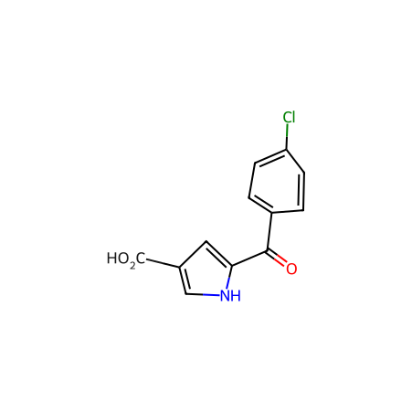 O=C(O)c1c[nH]c(C(=O)c2ccc(Cl)cc2)c1